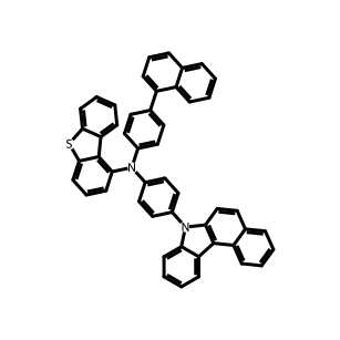 c1ccc2c(-c3ccc(N(c4ccc(-n5c6ccccc6c6c7ccccc7ccc65)cc4)c4cccc5sc6ccccc6c45)cc3)cccc2c1